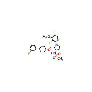 COc1c(F)cnc(N2CC[C@H](NS(C)(=O)=O)[C@@H]2CO[C@H]2CC[C@@H](c3cccc(F)c3)CC2)c1F